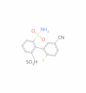 N#Cc1ccc(F)c(-c2c(S(N)(=O)=O)cccc2S(=O)(=O)O)c1